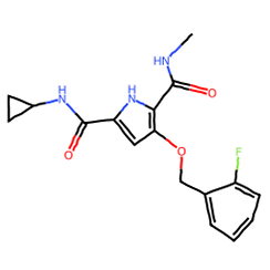 CNC(=O)c1[nH]c(C(=O)NC2CC2)cc1OCc1ccccc1F